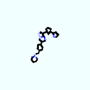 C1=CC(c2cccc(-c3cnn4cc(-c5ccc(CCN6CCCCC6)cc5)cnc34)c2)=NC1